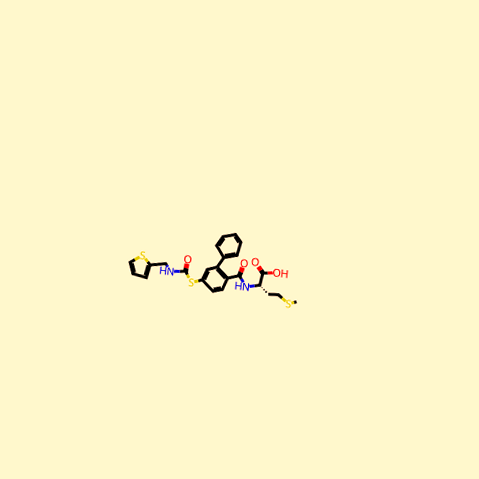 CSCC[C@H](NC(=O)c1ccc(SC(=O)NCc2cccs2)cc1-c1ccccc1)C(=O)O